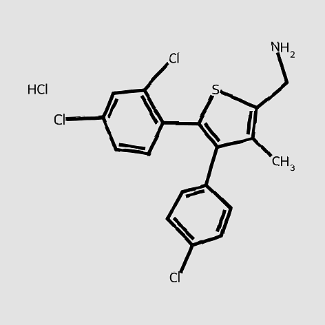 Cc1c(CN)sc(-c2ccc(Cl)cc2Cl)c1-c1ccc(Cl)cc1.Cl